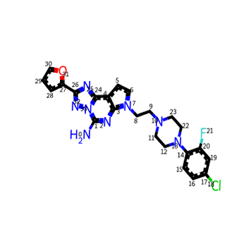 Nc1nc2c(ccn2CCN2CCN(c3ccc(Cl)cc3F)CC2)c2nc(-c3ccco3)nn12